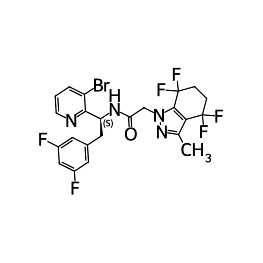 Cc1nn(CC(=O)N[C@@H](Cc2cc(F)cc(F)c2)c2ncccc2Br)c2c1C(F)(F)CCC2(F)F